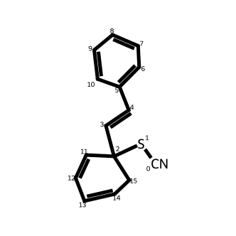 N#CSC1(C=Cc2ccccc2)C=CC=CC1